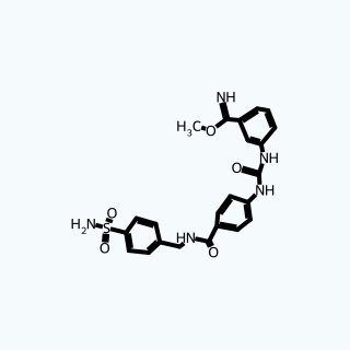 COC(=N)c1cccc(NC(=O)Nc2ccc(C(=O)NCc3ccc(S(N)(=O)=O)cc3)cc2)c1